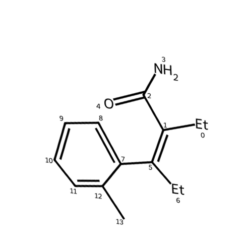 CCC(C(N)=O)=C(CC)c1ccccc1C